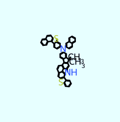 CC1(C)c2cc(N(c3ccc4ccccc4c3)c3ccc4c(c3)sc3ccc5ccccc5c34)ccc2-c2c1cc1[nH]c3c4c(cc5ccc2c1c53)sc1ccccc14